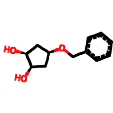 O[C@@H]1C[C@H](OCc2ccccc2)C[C@@H]1O